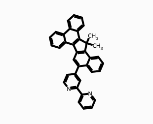 CC1(C)c2c(cc(-c3ccnc(-c4ccccn4)c3)c3ccccc23)-c2c1c1ccccc1c1ccccc21